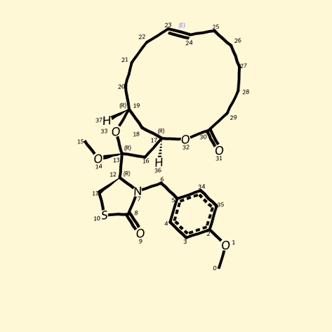 COc1ccc(CN2C(=O)SC[C@H]2[C@@]2(OC)C[C@H]3C[C@@H](CCC/C=C/CCCCCC(=O)O3)O2)cc1